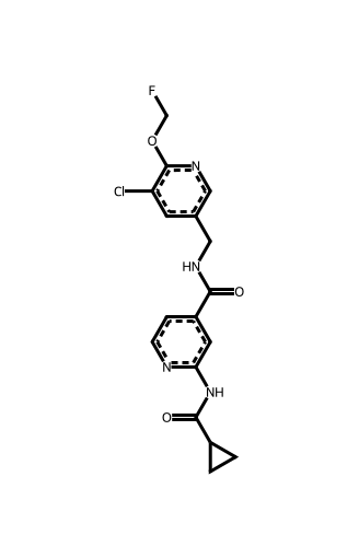 O=C(NCc1cnc(OCF)c(Cl)c1)c1ccnc(NC(=O)C2CC2)c1